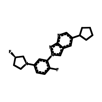 Fc1ccc(N2CC[C@@H](F)C2)cc1-n1cc2cc(C3CCCC3)cnc2n1